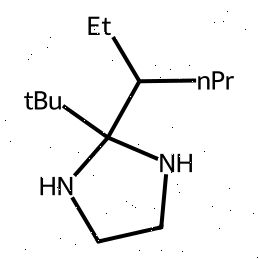 CCCC(CC)C1(C(C)(C)C)NCCN1